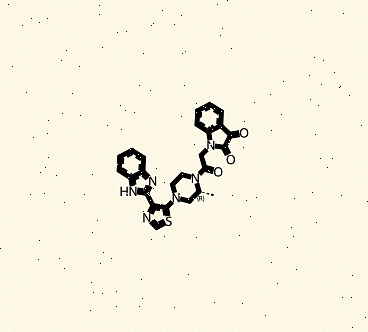 C[C@@H]1CN(c2scnc2-c2nc3ccccc3[nH]2)CCN1C(=O)CN1C(=O)C(=O)c2ccccc21